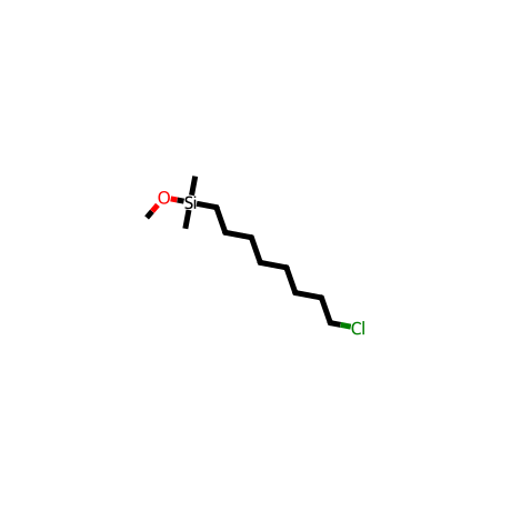 CO[Si](C)(C)CCCCCCCCCl